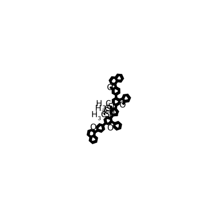 C[Si]1(C)c2cc(-c3ccc4c(c3)oc3ccc5ccccc5c34)c3c(oc4ccccc43)c2-c2ccc3c(c21)[Si](C)(C)c1cc(-c2ccc4c(c2)oc2ccc5ccccc5c24)c2oc4ccccc4c2c1-3